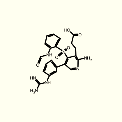 N=C(N)Nc1cccc(-c2cnc(N)c(CCC(=O)O)c2S(=O)(=O)c2ccccc2NC=O)c1